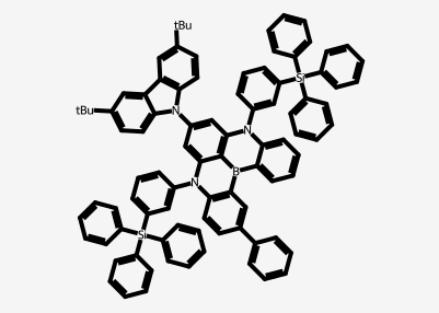 CC(C)(C)c1ccc2c(c1)c1cc(C(C)(C)C)ccc1n2-c1cc2c3c(c1)N(c1cccc([Si](c4ccccc4)(c4ccccc4)c4ccccc4)c1)c1ccc(-c4ccccc4)cc1B3c1ccccc1N2c1cccc([Si](c2ccccc2)(c2ccccc2)c2ccccc2)c1